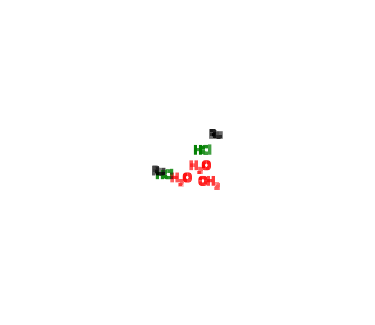 Cl.Cl.O.O.O.[Ru].[Ru]